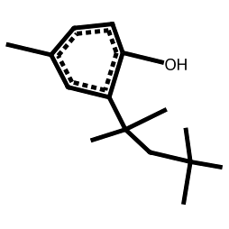 Cc1ccc(O)c(C(C)(C)CC(C)(C)C)c1